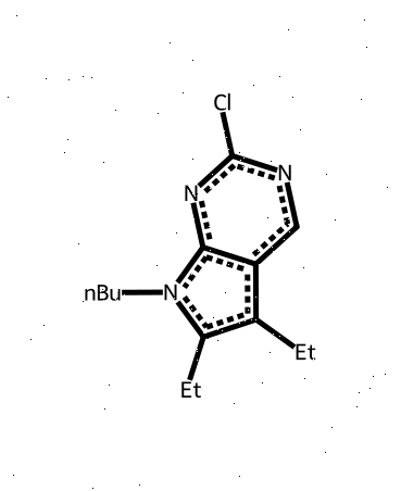 CCCCn1c(CC)c(CC)c2cnc(Cl)nc21